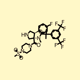 CN(C(=O)C(C)(C)c1cc(C(F)(F)F)cc(C(F)(F)F)c1)[C@]1(C(=O)N2CCN(S(C)(=O)=O)CC2)CNC[C@H]1c1ccc(F)cc1